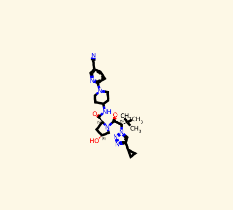 CC(C)(C)[C@@H](C(=O)N1C[C@H](O)C[C@H]1C(=O)NC1CCN(c2ccc(C#N)cn2)CC1)n1cc(C2CC2)nn1